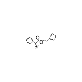 O=C(OCCc1ccccc1)[C@@H](Br)c1ccccc1